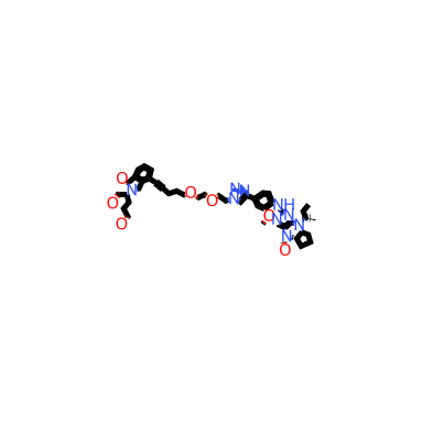 CC[C@H](C)N(c1nc(Nc2ccc(-c3cn(CCOCCOCCCC#Cc4cccc5c4CN(C(C=O)CCC=O)C5=O)nn3)cc2OC)ncc1N(C)C=O)C1CCCC1